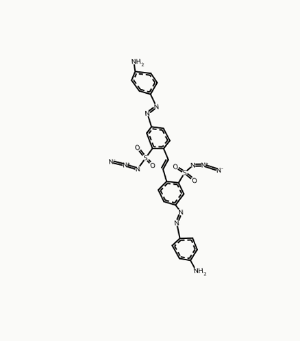 [N-]=[N+]=NS(=O)(=O)c1cc(/N=N/c2ccc(N)cc2)ccc1/C=C/c1ccc(/N=N/c2ccc(N)cc2)cc1S(=O)(=O)N=[N+]=[N-]